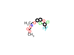 CCOC(=O)CON=C(C)COc1ccc2ccc(Oc3c(Cl)cc(C(F)(F)F)cc3Cl)cc2c1